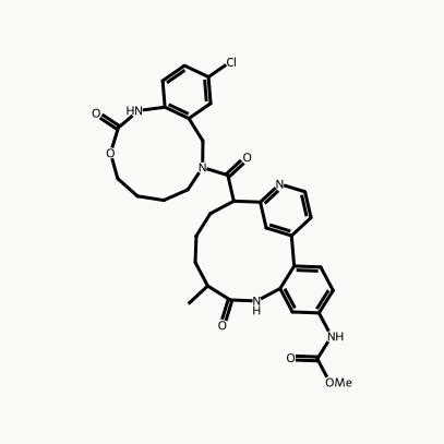 COC(=O)Nc1ccc2c(c1)NC(=O)C(C)CCCC(C(=O)N1CCCCOC(=O)Nc3ccc(Cl)cc3C1)c1cc-2ccn1